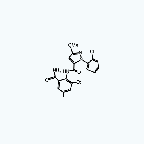 CCc1cc(I)cc(C(N)=O)c1NC(=O)c1cc(OC)nn1-c1ncccc1Cl